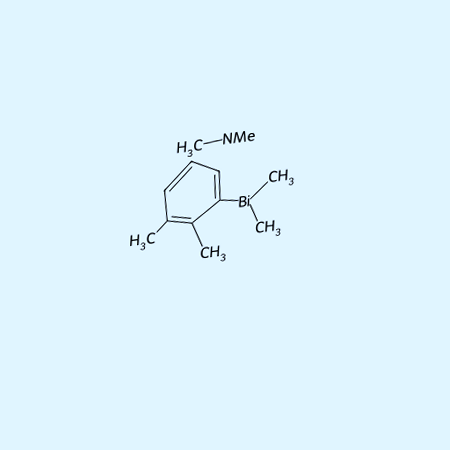 CNC.Cc1ccc[c]([Bi]([CH3])[CH3])c1C